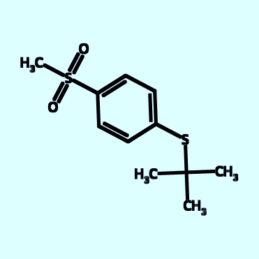 CC(C)(C)Sc1ccc(S(C)(=O)=O)cc1